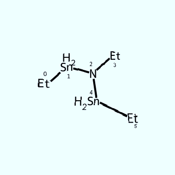 C[CH2][SnH2][N](CC)[SnH2][CH2]C